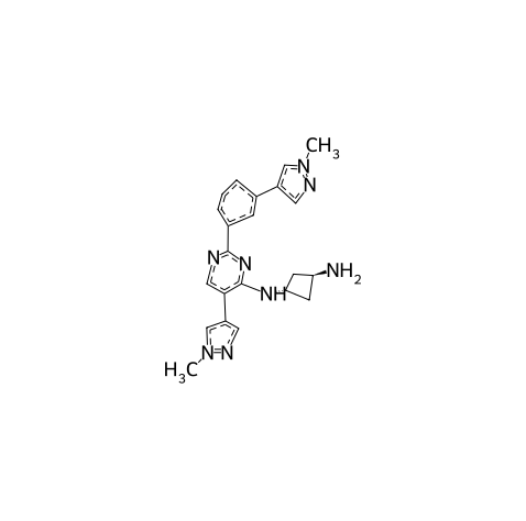 Cn1cc(-c2cccc(-c3ncc(-c4cnn(C)c4)c(N[C@H]4C[C@H](N)C4)n3)c2)cn1